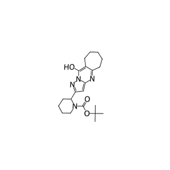 CC(C)(C)OC(=O)N1CCCCC1c1cc2nc3c(c(O)n2n1)CCCCC3